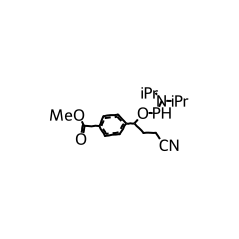 COC(=O)c1ccc(C(CCC#N)OPN(C(C)C)C(C)C)cc1